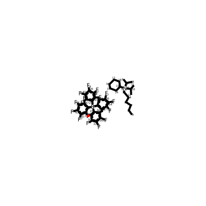 CCCCCC[N+](C(C)C)(C(C)C)C1CCCCC1.Fc1c(F)c(F)c([B-](c2c(F)c(F)c(F)c(F)c2F)(c2c(F)c(F)c(F)c(F)c2F)c2c(F)c(F)c(F)c(F)c2F)c(F)c1F